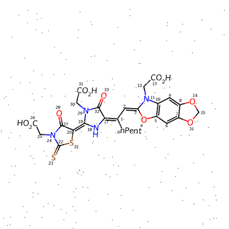 CCCCCC(/C=C1\Oc2cc3c(cc2N1CC(=O)O)OCO3)=c1\[nH]/c(=C2\SC(=S)N(CC(=O)O)C2=O)n(CC(=O)O)c1=O